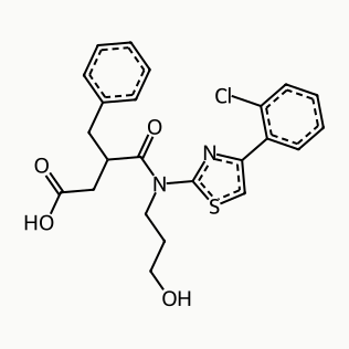 O=C(O)CC(Cc1ccccc1)C(=O)N(CCCO)c1nc(-c2ccccc2Cl)cs1